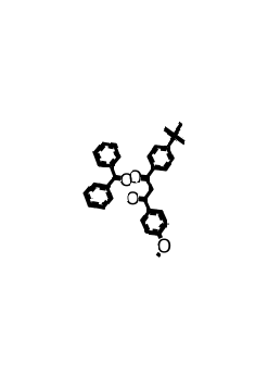 COc1ccc(C(=O)CC(=O)c2ccc(C(C)(C)C)cc2)cc1.O=C(c1ccccc1)c1ccccc1